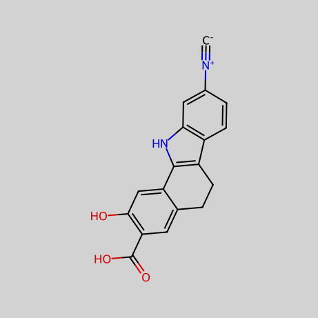 [C-]#[N+]c1ccc2c3c([nH]c2c1)-c1cc(O)c(C(=O)O)cc1CC3